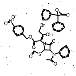 CC(=O)N(c1ccccc1)C1C(=O)N(C(C(=O)OCc2ccc([N+](=O)[O-])cc2)=C(O)CBr)C1SC=O.O=C1OC1(c1ccccc1)c1ccccc1